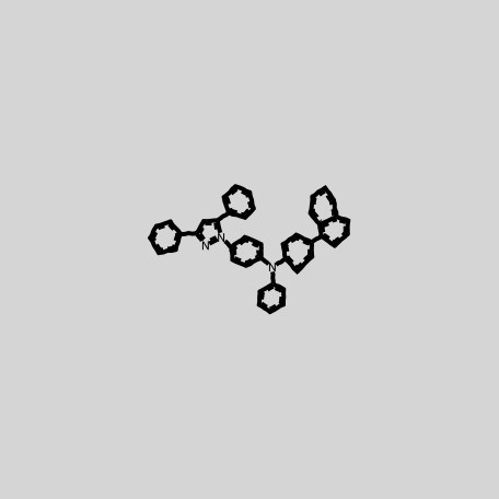 c1ccc(-c2cc(-c3ccccc3)n(-c3ccc(N(c4ccccc4)c4ccc(-c5cccc6ccccc56)cc4)cc3)n2)cc1